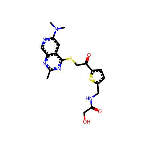 Cc1nc(SCC(=O)c2ccc(CNC(=O)CO)s2)c2cc(N(C)C)ncc2n1